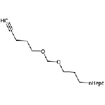 C#CCCCOCOCCCCCCCCCC